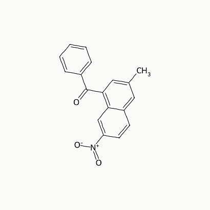 Cc1cc(C(=O)c2ccccc2)c2cc([N+](=O)[O-])ccc2c1